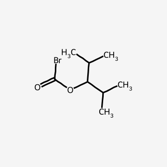 CC(C)C(OC(=O)Br)C(C)C